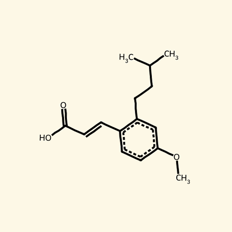 COc1ccc(C=CC(=O)O)c(CCC(C)C)c1